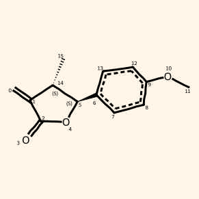 C=C1C(=O)O[C@H](c2ccc(OC)cc2)[C@H]1C